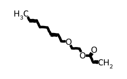 C=CC(=O)OCCOCC=CCCC=CC